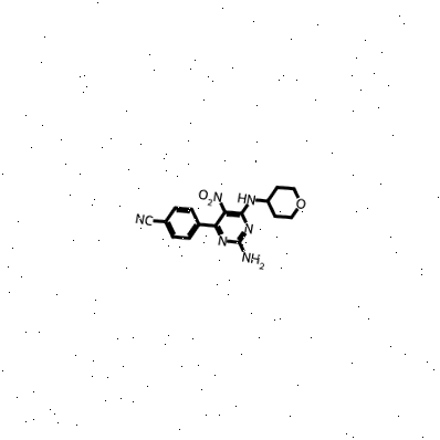 N#Cc1ccc(-c2nc(N)nc(NC3CCOCC3)c2[N+](=O)[O-])cc1